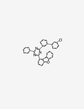 Clc1cccc(-c2cccc(-c3nc(-c4ccccc4)nc(-c4cccc5oc6ccccc6c45)n3)c2)c1